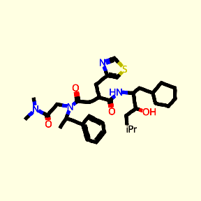 CC(C)CC(O)C(CC1CCCCC1)NC(=O)C(CC(=O)N(CC(=O)N(C)C)C(C)c1ccccc1)Cc1cscn1